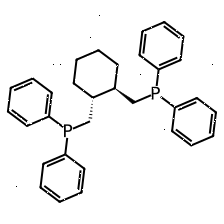 c1ccc(P(C[C@@H]2CCCC[C@H]2CP(c2ccccc2)c2ccccc2)c2ccccc2)cc1